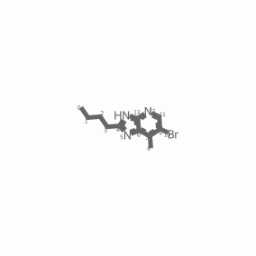 CCCCc1nc2c(C)c(Br)cnc2[nH]1